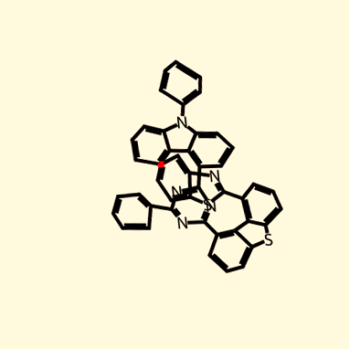 c1ccc(-c2nc(-c3cccc4sc5cccc(-c6nc7ccccc7s6)c5c34)nc(-c3cccc4c3c3ccccc3n4-c3ccccc3)n2)cc1